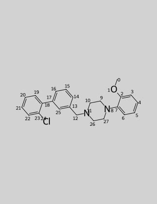 COc1ccccc1N1CCN(Cc2cccc(-c3ccccc3Cl)c2)CC1